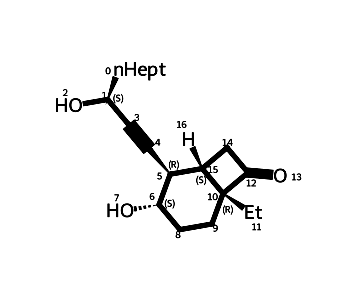 CCCCCCC[C@H](O)C#C[C@@H]1[C@@H](O)CC[C@@]2(CC)C(=O)C[C@@H]12